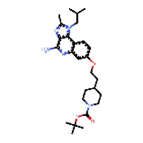 Cc1nc2c(N)nc3cc(OCCC4CCN(C(=O)OC(C)(C)C)CC4)ccc3c2n1CC(C)C